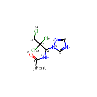 CCCC(C)C(=O)NC(n1cncn1)C(Cl)(Cl)CCl